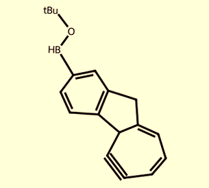 CC(C)(C)OBc1ccc2c(c1)CC1=CC=CC#CC12